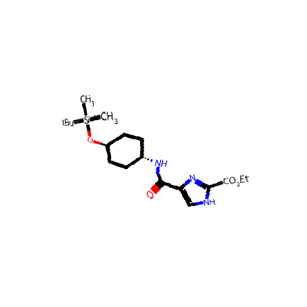 CCOC(=O)c1nc(C(=O)N[C@H]2CC[C@H](O[Si](C)(C)C(C)(C)C)CC2)c[nH]1